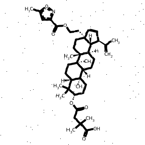 C=C(C)[C@@H]1CC[C@]2(CCOC(=O)c3cc(C)on3)CC[C@]3(C)[C@H](CC[C@@H]4[C@@]5(C)CC[C@H](OC(=O)CC(C)(C)C(=O)O)C(C)(C)[C@@H]5CC[C@]43C)[C@@H]12